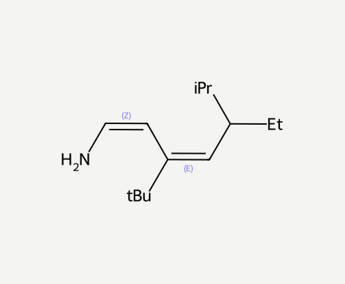 CCC(/C=C(\C=C/N)C(C)(C)C)C(C)C